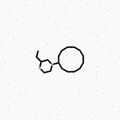 CCC1CN(C2CCCCCCCCCCC2)CCO1